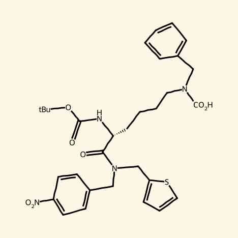 CC(C)(C)OC(=O)N[C@H](CCCCN(Cc1ccccc1)C(=O)O)C(=O)N(Cc1ccc([N+](=O)[O-])cc1)Cc1cccs1